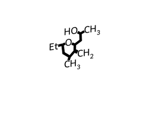 C=C1C(C)CC(CC)OC1CC(C)O